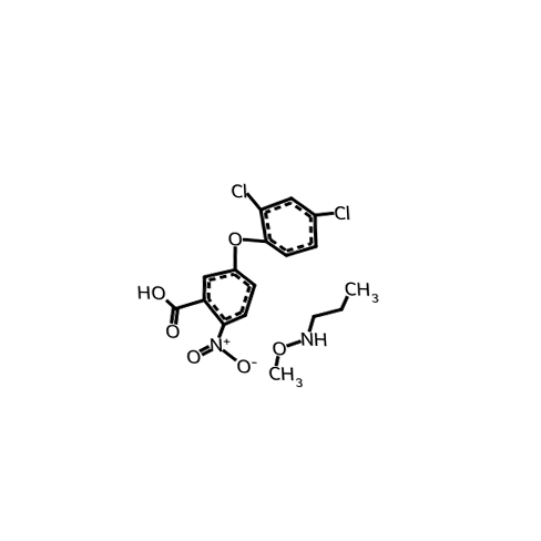 CCCNOC.O=C(O)c1cc(Oc2ccc(Cl)cc2Cl)ccc1[N+](=O)[O-]